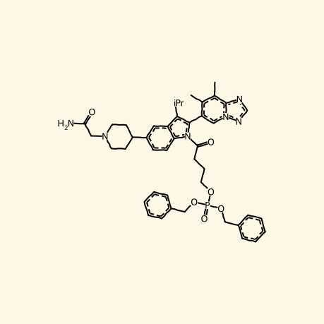 Cc1c(-c2c(C(C)C)c3cc(C4CCN(CC(N)=O)CC4)ccc3n2C(=O)CCCOP(=O)(OCc2ccccc2)OCc2ccccc2)cn2ncnc2c1C